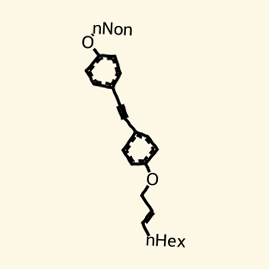 CCCCCCC=CCOc1ccc(C#Cc2ccc(OCCCCCCCCC)cc2)cc1